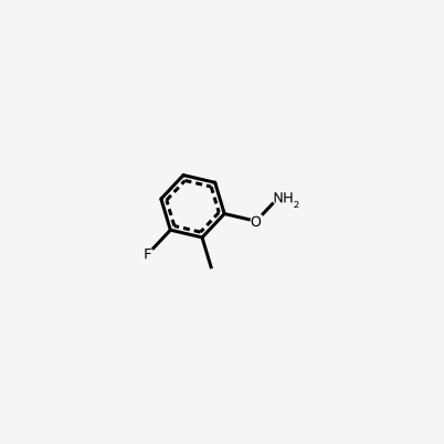 Cc1c(F)cccc1ON